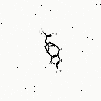 CC(C)c1nc2c(s1)C1CCC(C2)N1CC(N)=O